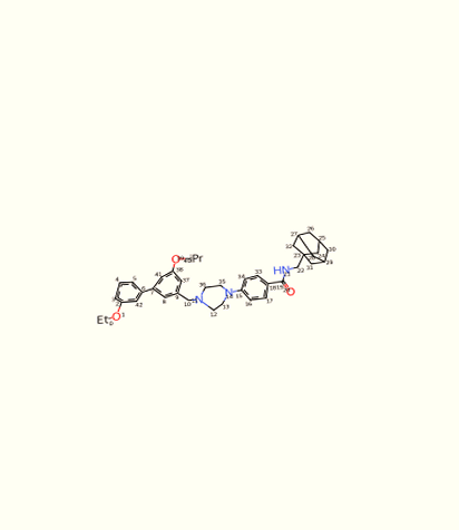 CCOc1cccc(-c2cc(CN3CCN(c4ccc(C(=O)NCC56CC7CC(CC(C7)C5)C6)cc4)CC3)cc(OC(C)C)c2)c1